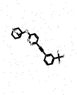 FC(F)(F)c1cccc(C#Cc2ccc(OC3CN4CCC3CC4)nn2)c1